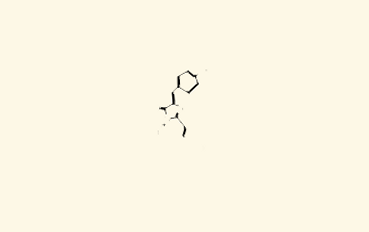 C/C=C/C1=NC(=C\c2ccc(O)cc2)/C(=O)N1C